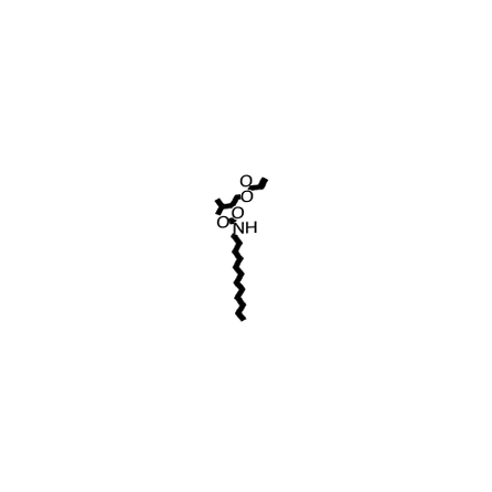 C=CC(=O)OCC(OC(=O)NCCCCCCCCCCCC)C(C)C